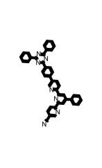 N#Cc1ccc(-c2cc(-c3ccccc3)cc(-c3ccc(-c4ccc(-c5nc(-c6ccccc6)nc(-c6ccccc6)n5)cc4)cn3)n2)nc1